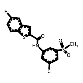 CS(=O)(=O)c1cc(Cl)cc(NC(=O)c2cc3cc(F)ccc3s2)c1